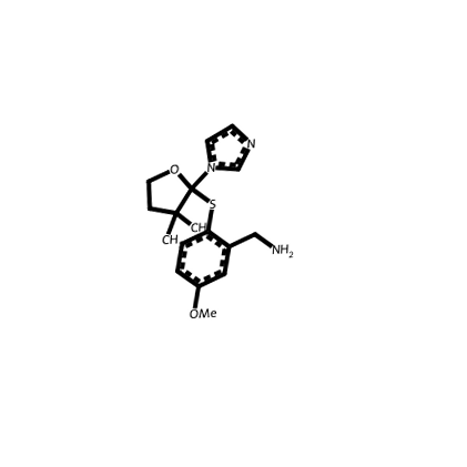 COc1ccc(SC2(n3ccnc3)OCCC2(C)C)c(CN)c1